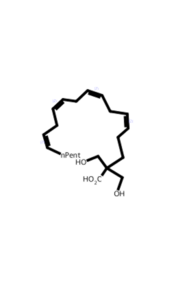 CCCCC/C=C\C/C=C\C/C=C\C/C=C\CCC(CO)(CO)C(=O)O